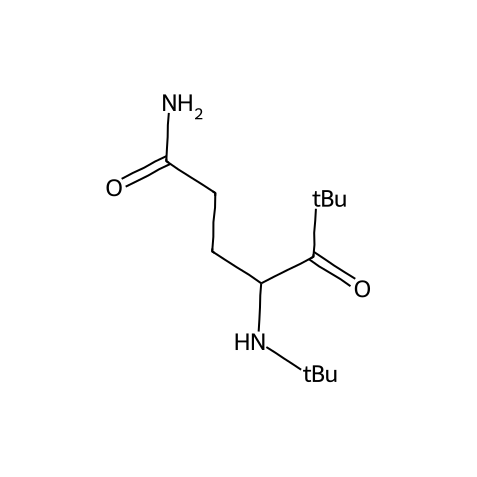 CC(C)(C)NC(CCC(N)=O)C(=O)C(C)(C)C